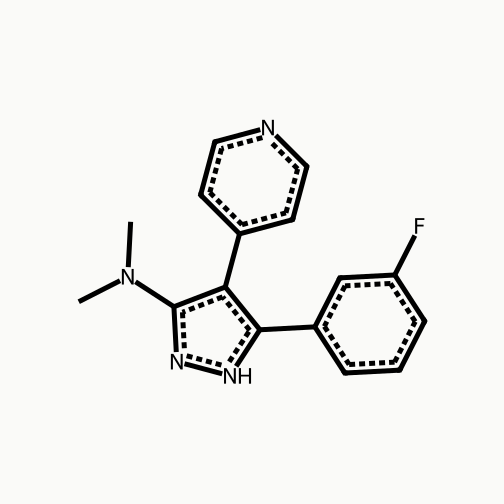 CN(C)c1n[nH]c(-c2cccc(F)c2)c1-c1ccncc1